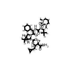 CN1CCCN(C[C@@H](NC(=O)N[C@H](C(=O)N2C[C@H]3[C@@H]([C@H]2C(=O)NC(CC2CC2)C(=O)C(N)=O)C3(C)C)C2CCCCC2)C(C)(C)C)S1(=O)=O